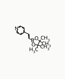 CC1(C)OB(C=Cc2ccncc2)OC1(C)C